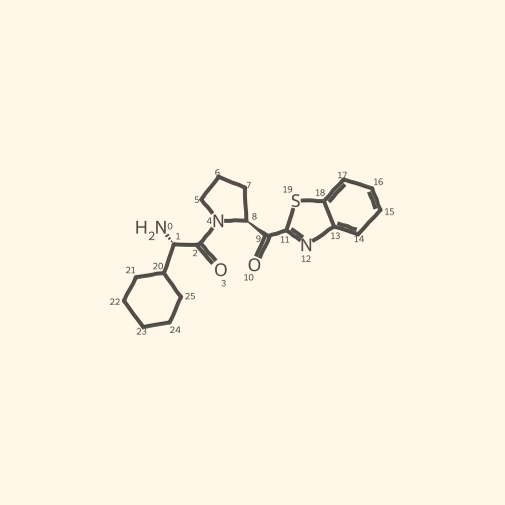 N[C@H](C(=O)N1CCC[C@H]1C(=O)c1nc2ccccc2s1)C1CCCCC1